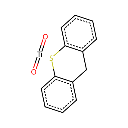 [O]=[Ti]=[O].c1ccc2c(c1)Cc1ccccc1S2